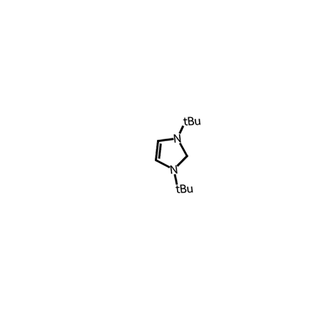 CC(C)(C)N1C=CN(C(C)(C)C)C1